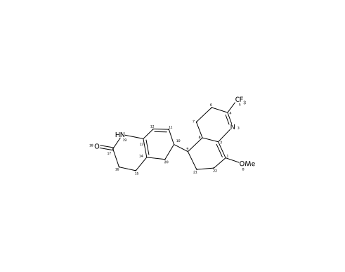 COC1=C2N=C(C(F)(F)F)CCC2C(C2C=CC3=C(CCC(=O)N3)C2)CC1